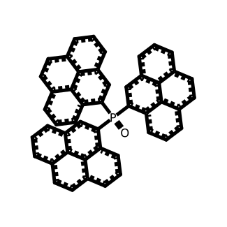 O=P(c1cc2cccc3ccc4cccc1c4c32)(c1cc2cccc3ccc4cccc1c4c32)c1cc2cccc3ccc4cccc1c4c32